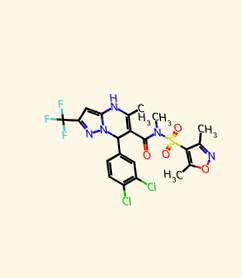 CC1=C(C(=O)N(C)S(=O)(=O)c2c(C)noc2C)C(c2ccc(Cl)c(Cl)c2)n2nc(C(F)(F)F)cc2N1